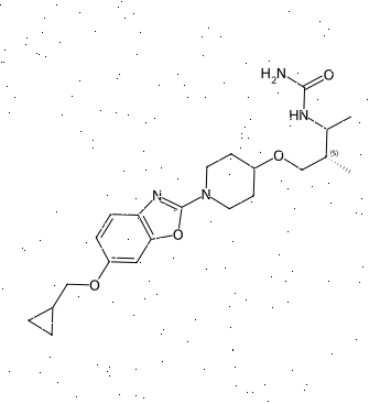 CC(NC(N)=O)[C@H](C)COC1CCN(c2nc3ccc(OCC4CC4)cc3o2)CC1